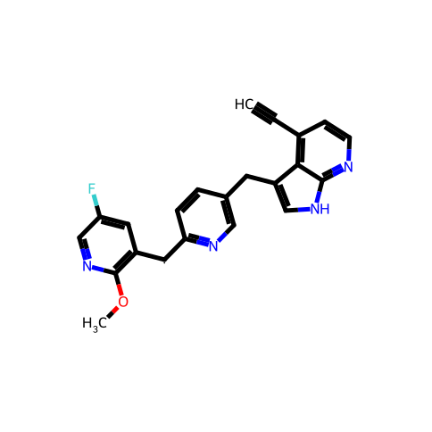 C#Cc1ccnc2[nH]cc(Cc3ccc([CH]c4cc(F)cnc4OC)nc3)c12